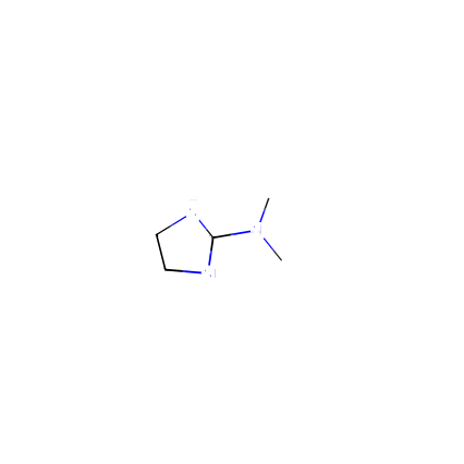 CCCCN(CCC)[C]1NCCN1